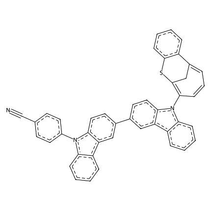 N#Cc1ccc(-n2c3ccccc3c3cc(-c4ccc5c(c4)c4ccccc4n5C4=C5CC(=CC=C4)c4ccccc4S5)ccc32)cc1